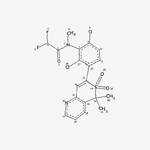 CN(C(=O)C(F)F)c1c(Cl)ccc(C2=[C]c3ncccc3C(C)(C)S2(=O)=O)c1Cl